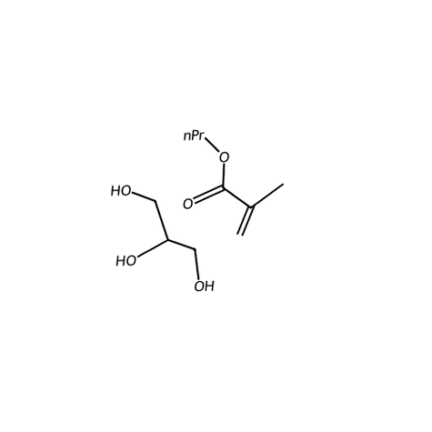 C=C(C)C(=O)OCCC.OCC(O)CO